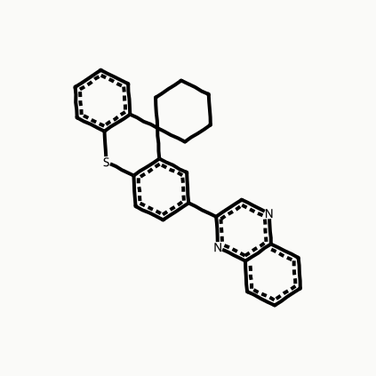 c1ccc2c(c1)Sc1ccc(-c3cnc4ccccc4n3)cc1C21CCCCC1